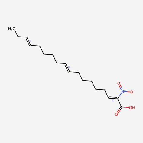 CC/C=C/CCCC/C=C/CCCCC/C=C(/C(=O)O)[N+](=O)[O-]